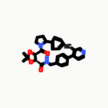 CC1(C)O[C@@H](C(=O)NCc2ccc(-c3ccncc3C#N)cc2)[C@H](C(=O)N2CCCC2c2ccccc2)O1